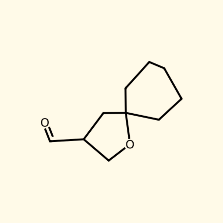 O=CC1COC2(CCCCC2)C1